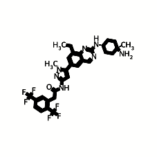 CCc1cc(-c2cc(NC(=O)Cc3cc(C(F)(F)F)ccc3C(F)(F)F)nn2C)cc2cnc(N[C@H]3CC[C@](C)(N)CC3)nc12